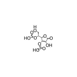 O=C1O[C@H]([C@H](CO)OS(=O)O)C(OS(=O)O)=C1O